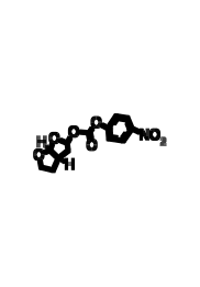 O=C(Oc1ccc([N+](=O)[O-])cc1)OC1C[C@@H]2CCO[C@@H]2O1